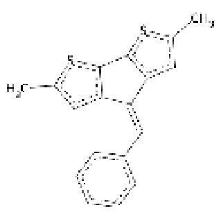 Cc1cc2c(s1)-c1sc(C)cc1C2=Cc1ccccc1